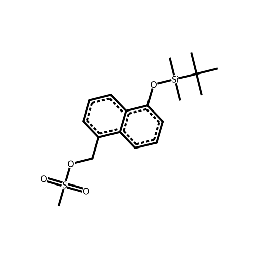 CC(C)(C)[Si](C)(C)Oc1cccc2c(COS(C)(=O)=O)cccc12